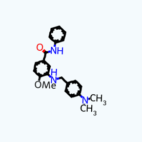 COc1ccc(C(=O)Nc2ccccc2)cc1NCc1ccc(N(C)C)cc1